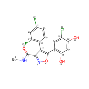 CCNC(=O)c1noc(-c2cc(Cl)c(O)cc2O)c1-c1ccc(F)cc1F